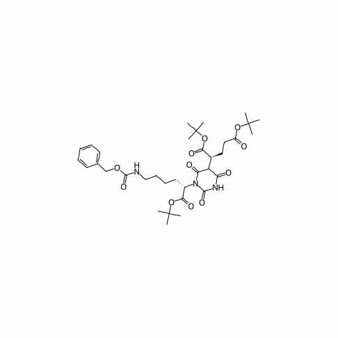 CC(C)(C)OC(=O)CC[C@H](C(=O)OC(C)(C)C)C1C(=O)NC(=O)N([C@@H](CCCCNC(=O)OCc2ccccc2)C(=O)OC(C)(C)C)C1=O